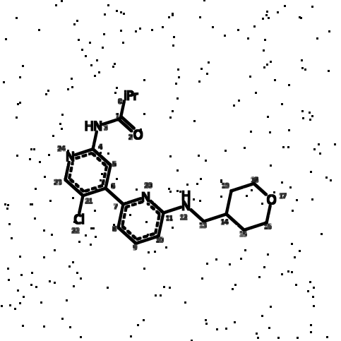 CC(C)C(=O)Nc1cc(-c2cccc(NCC3CCOCC3)n2)c(Cl)cn1